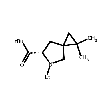 CCN1C[C@@]2(C[C@H]1C(=O)C(C)(C)C)CC2(C)C